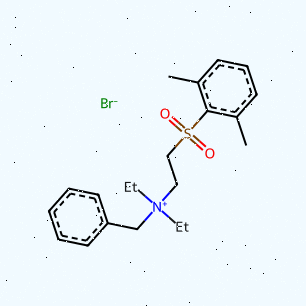 CC[N+](CC)(CCS(=O)(=O)c1c(C)cccc1C)Cc1ccccc1.[Br-]